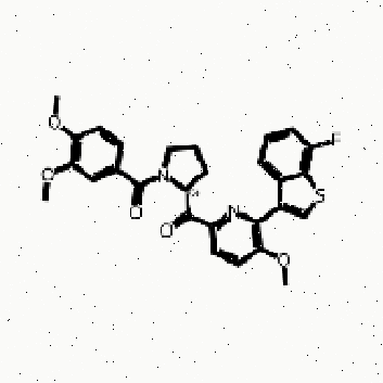 COc1ccc(C(=O)N2CCC[C@H]2C(=O)c2ccc(OC)c(-c3csc4c(F)cccc34)n2)cc1OC